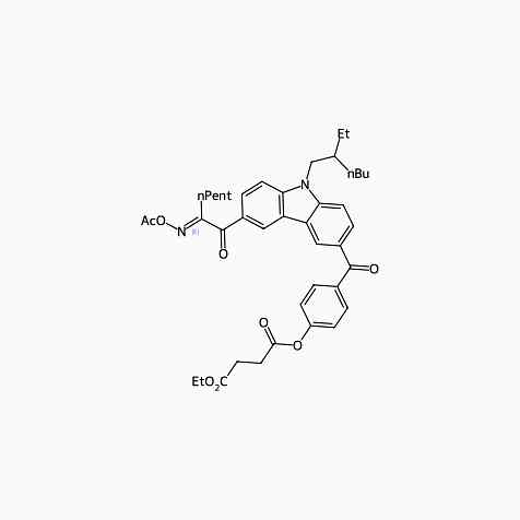 CCCCC/C(=N\OC(C)=O)C(=O)c1ccc2c(c1)c1cc(C(=O)c3ccc(OC(=O)CCC(=O)OCC)cc3)ccc1n2CC(CC)CCCC